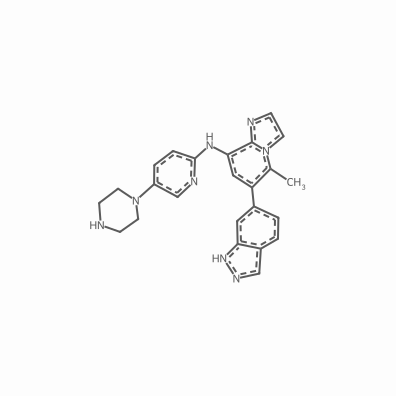 Cc1c(-c2ccc3cn[nH]c3c2)cc(Nc2ccc(N3CCNCC3)cn2)c2nccn12